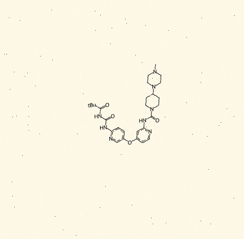 CN1CCN(C2CCN(C(=O)Nc3cc(Oc4ccc(NC(=O)NC(=O)C(C)(C)C)nc4)ccn3)CC2)CC1